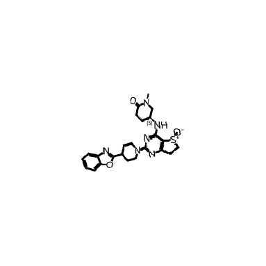 CN1C[C@@H](Nc2nc(N3CCC(c4nc5ccccc5o4)CC3)nc3c2[S+]([O-])CC3)CCC1=O